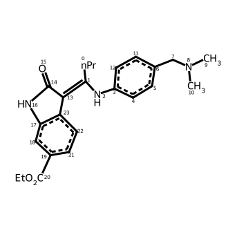 CCCC(Nc1ccc(CN(C)C)cc1)=C1C(=O)Nc2cc(C(=O)OCC)ccc21